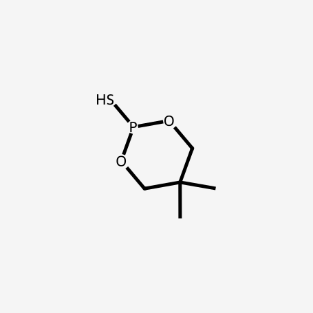 CC1(C)COP(S)OC1